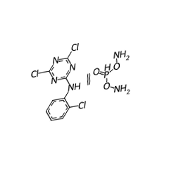 C=C.Clc1nc(Cl)nc(Nc2ccccc2Cl)n1.NO[PH](=O)ON